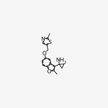 Cc1ncc(COc2ccc3oc(C)c(C4(N)CC4)c3c2)s1